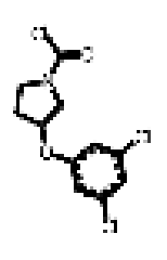 O=C(Cl)N1CCC(Oc2cc(Cl)cc(Cl)c2)C1